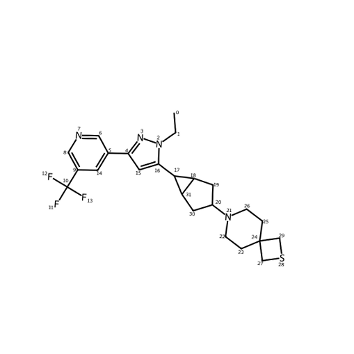 CCn1nc(-c2cncc(C(F)(F)F)c2)cc1C1C2CC(N3CCC4(CC3)CSC4)CC21